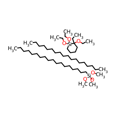 CCCCCCCCCCCCCCCCCC.CCCCCCCCCCCCCCCCCC[Si](OC)(OC)OC.CCOC1(CC)CCCC[Si]1(OCC)OCC